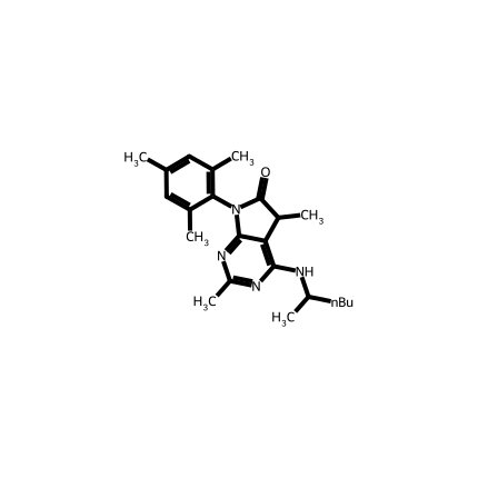 CCCCC(C)Nc1nc(C)nc2c1C(C)C(=O)N2c1c(C)cc(C)cc1C